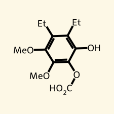 CCc1c(O)c(OC(=O)O)c(OC)c(OC)c1CC